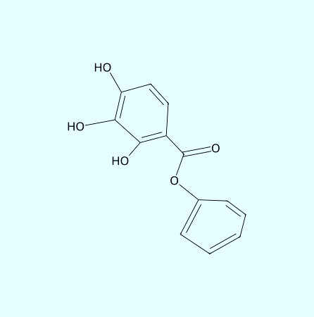 O=C(Oc1ccccc1)c1ccc(O)c(O)c1O